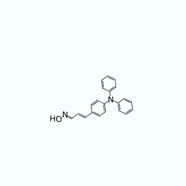 ON=CC=Cc1ccc(N(c2ccccc2)c2ccccc2)cc1